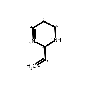 C=CC1N=CCCN1